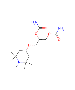 CN1C(C)(C)CC(OCC(COC(N)=O)OC(N)=O)CC1(C)C